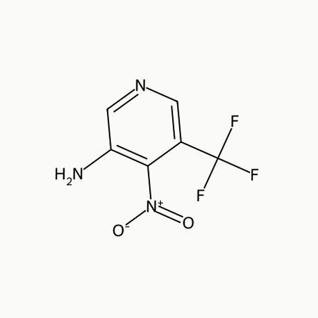 Nc1cncc(C(F)(F)F)c1[N+](=O)[O-]